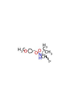 COc1ccc(COC(=O)NC(C)(CC#CC2CC2)CC(C)C)cc1